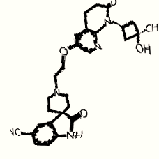 C[C@]1(O)C[C@@H](N2C(=O)CCc3cc(OCCN4CCC5(CC4)C(=O)Nc4ccc(C#N)cc45)cnc32)C1